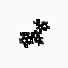 CC(=O)c1cn(CC(=O)N2C[C@](C)(F)C[C@H]2C(=O)N[C@H](CO)c2cccc(Cl)c2F)c2ncccc12